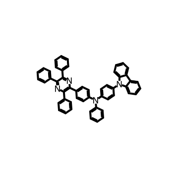 c1ccc(-c2nc(-c3ccccc3)c(-c3ccc(N(c4ccccc4)c4ccc(-n5c6ccccc6c6ccccc65)cc4)cc3)nc2-c2ccccc2)cc1